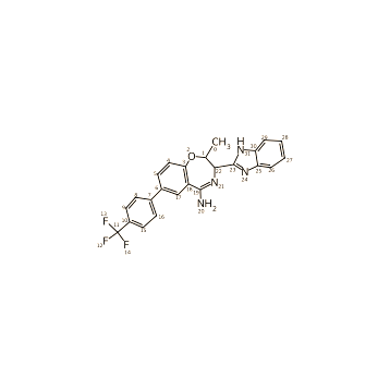 CC1Oc2ccc(-c3ccc(C(F)(F)F)cc3)cc2C(N)=NC1c1nc2ccccc2[nH]1